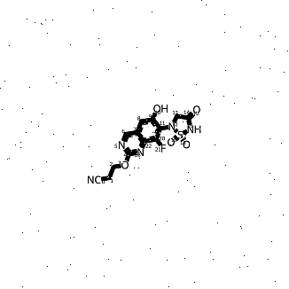 N#CCCOc1ncc2cc(O)c(N3CC(=O)NS3(=O)=O)c(F)c2n1